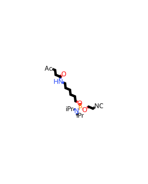 [C-]#[N+]CCOP(OCCCCCCNC(=O)CCC(C)=O)N(C(C)C)C(C)C